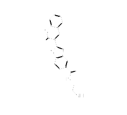 NCCNC(=O)c1ccc2[nH]c(-c3cc4ccccc4[nH]c3=O)cc2c1